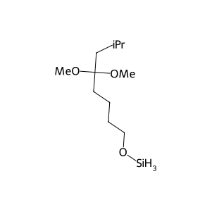 COC(CCCCO[SiH3])(CC(C)C)OC